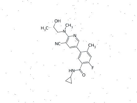 Cc1cc(F)c(C(=O)NC2CC2)cc1-c1cnc(N(C)C[C@H](C)O)c(C#N)c1